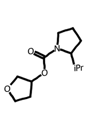 CC(C)C1CCCN1C(=O)OC1CCOC1